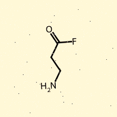 NCCC(=O)F